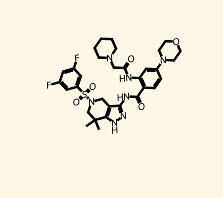 CC1(C)CN(S(=O)(=O)c2cc(F)cc(F)c2)Cc2c(NC(=O)c3ccc(N4CCOCC4)cc3NC(=O)CN3CCCCC3)n[nH]c21